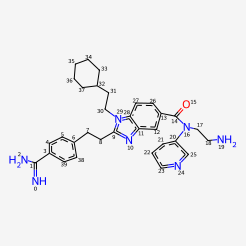 N=C(N)c1ccc(CCc2nc3cc(C(=O)N(CCN)c4cccnc4)ccc3n2CCC2CCCCC2)cc1